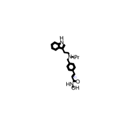 CC(C)N(CCc1c[nH]c2ccccc12)Cc1ccc(/C=C/C(=O)NO)cc1